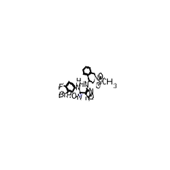 CS(=O)(=O)N1Cc2ccccc2C(Nc2nonc2/C(=N/O)Nc2ccc(F)c(Br)c2)C1